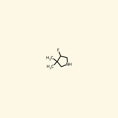 CC1(C)CNCC1F